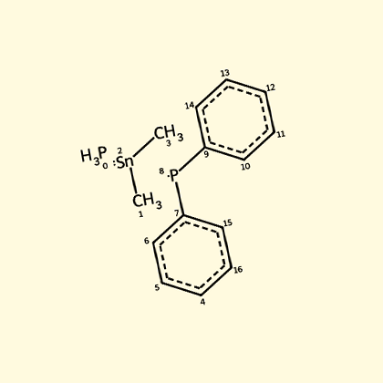 P.[CH3][Sn][CH3].c1ccc([P]c2ccccc2)cc1